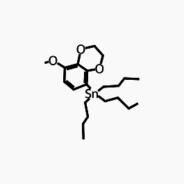 CCC[CH2][Sn]([CH2]CCC)([CH2]CCC)[c]1ccc(OC)c2c1OCCO2